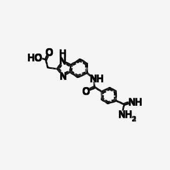 N=C(N)c1ccc(C(=O)Nc2ccc3[nH]c(CC(=O)O)nc3c2)cc1